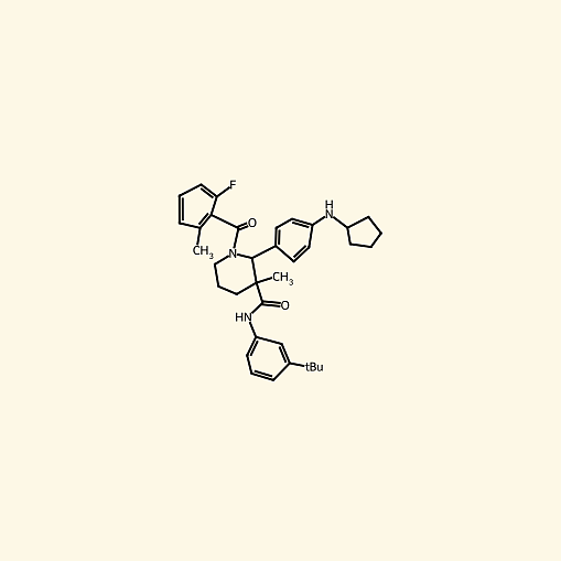 Cc1cccc(F)c1C(=O)N1CCCC(C)(C(=O)Nc2cccc(C(C)(C)C)c2)C1c1ccc(NC2CCCC2)cc1